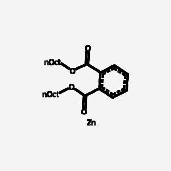 CCCCCCCCOC(=O)c1ccccc1C(=O)OCCCCCCCC.[Zn]